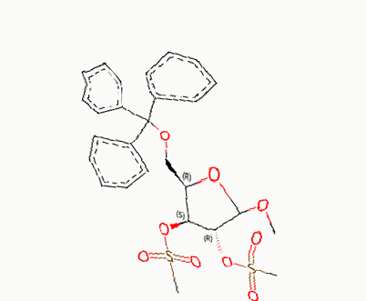 COC1O[C@H](COC(c2ccccc2)(c2ccccc2)c2ccccc2)[C@H](OS(C)(=O)=O)[C@H]1OS(C)(=O)=O